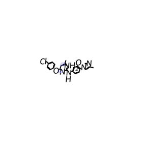 C=C(/N=C(\C=C(\C)N)Oc1ccc(Cl)cc1)Nc1ccc(-n2cnc(C)c2)c(OC)c1